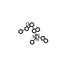 c1ccc(-c2ccc3c(c2)oc2cccc(-c4ccc(-c5nc(-c6ccccc6)nc(-c6ccc7ccccc7c6)n5)c5ccccc45)c23)cc1